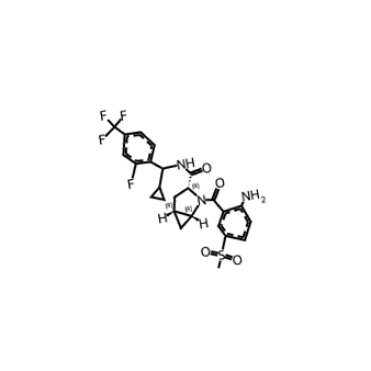 CS(=O)(=O)c1ccc(N)c(C(=O)N2[C@@H](C(=O)NC(c3ccc(C(F)(F)F)cc3F)C3CC3)C[C@H]3C[C@H]32)c1